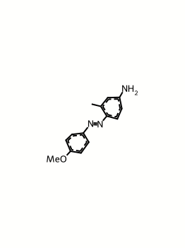 COc1ccc(N=Nc2ccc(N)cc2C)cc1